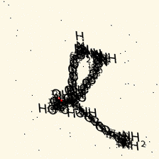 Nc1nc(OCc2ccc(COCCOCCOCCOCCNC(=O)CCOCC(COCCC(=O)NCCOCCOCCOCCOCc3ccc(COc4nc(N)nc5[nH]cnc45)cc3)(COCCC(=O)NCCOCCOCCOCCOCc3ccc(COc4nc(N)nc5[nH]cnc45)cc3)NC(=O)c3ccc4c(c3)C(=O)OC43c4ccc(O)cc4Oc4cc(O)ccc43)cc2)c2nc[nH]c2n1